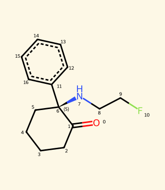 O=C1CCCC[C@]1(NCCF)c1ccccc1